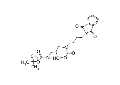 CC(C)(C)OC(=O)NCC(O)CN(CCCCN1C(=O)c2ccccc2C1=O)C(=O)O